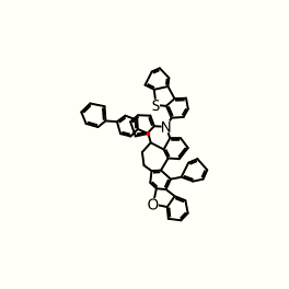 c1ccc(-c2ccc(CC3CCc4cc5oc6ccccc6c5c(-c5ccccc5)c4-c4cccc(N(c5ccccc5)c5cccc6c5sc5ccccc56)c43)cc2)cc1